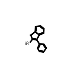 CC(C)C1=C(c2ccccc2)c2ccccc2[CH]1